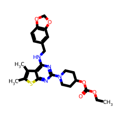 CCOC(=O)OC1CCN(c2nc(NCc3ccc4c(c3)OCO4)c3c(C)c(C)sc3n2)CC1